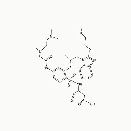 COCCSc1nc2ccccc2n1C[C@@H](C)Oc1cc(NC(=O)CN(C)CCN(C)C)ccc1S(=O)(=O)NC(C=O)CC(=O)O